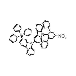 O=[N+]([O-])c1cc(-c2ccccc2)c(-n2c3ccccc3c3cc(-n4c5ccccc5c5ccc([Si](c6ccccc6)(c6ccccc6)c6ccccc6)cc54)ccc32)c(-c2ccccc2)c1